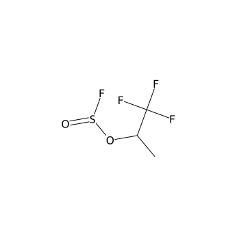 CC(OS(=O)F)C(F)(F)F